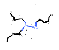 CCCNN(CCC)CCC